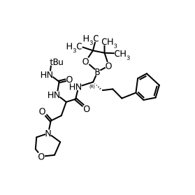 CC(C)(C)NC(=O)NC(CC(=O)N1CCOCC1)C(=O)N[C@@H](CCCc1ccccc1)B1OC(C)(C)C(C)(C)O1